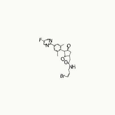 Cc1cc(-c2ncc(F)cn2)cc(C)c1C1C(=O)CC(CC(=O)NC/C=C\Br)C1=O